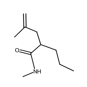 C=C(C)CC(CCC)C(=O)NC